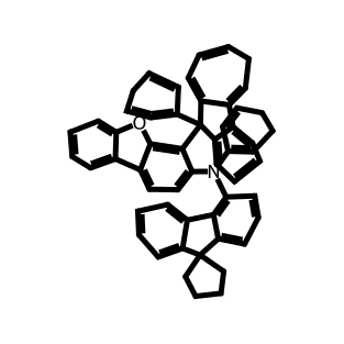 C1=CCC=CC=1C1(c2c(N(C3=CCCC=C3)c3cccc4c3-c3ccccc3C43CCCC3)ccc3c2oc2ccccc23)C2=CC=CCC=C2c2ccccc21